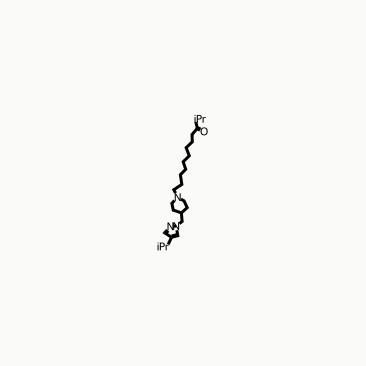 CC(C)C(=O)CCCCCCCCCN1CCC(Cn2cc(C(C)C)cn2)CC1